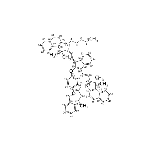 CCCCCN1/C(=C/C=C2C(Oc3ccc(OCc4ccccc4)cc3)=C(/C=C/C3=[N+](CCCCC)c4ccc5ccccc5c4C3(C)C)c3ccccc3/2)C(C)(C)c2c1ccc1ccccc21